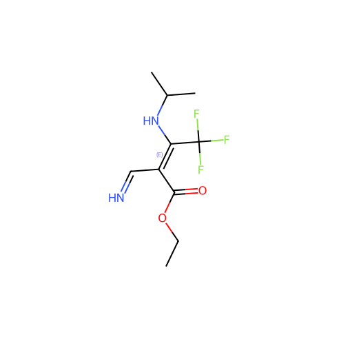 CCOC(=O)/C(C=N)=C(/NC(C)C)C(F)(F)F